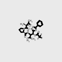 CC(C)C(NC(=O)[C@H]1CCCN1C(=O)[C@@H](N)C(C)C)[C@H](OC(=O)C(F)(F)F)c1nnc(-c2ccccc2)o1